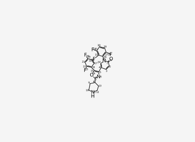 O=c1ccc(-c2nc(C3CCNCC3)oc2-c2ccc(F)cc2F)cn1-c1c(F)ccc(F)c1F